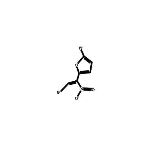 O=[N+]([O-])C(=CBr)c1ccc(Br)o1